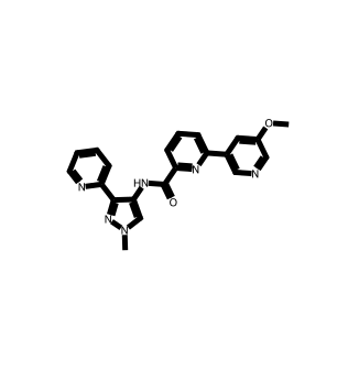 COc1cncc(-c2cccc(C(=O)Nc3cn(C)nc3-c3ccccn3)n2)c1